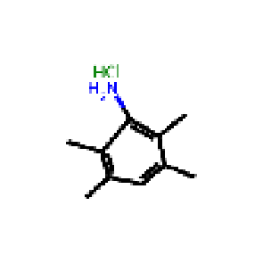 Cc1cc(C)c(C)c(N)c1C.Cl